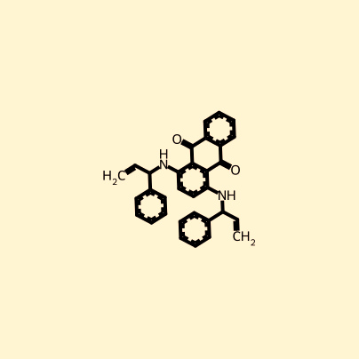 C=CC(Nc1ccc(NC(C=C)c2ccccc2)c2c1C(=O)c1ccccc1C2=O)c1ccccc1